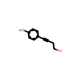 CC(=O)Oc1ccc(C#CCCO)cc1